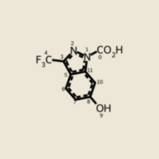 O=C(O)n1nc(C(F)(F)F)c2ccc(O)cc21